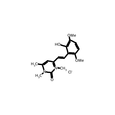 COc1ccc(OC)c(C=Cc2cc(C)n(C)c(=O)[n+]2C)c1O.[Cl-]